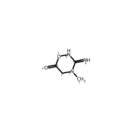 CN1CC(=O)ONC1=N